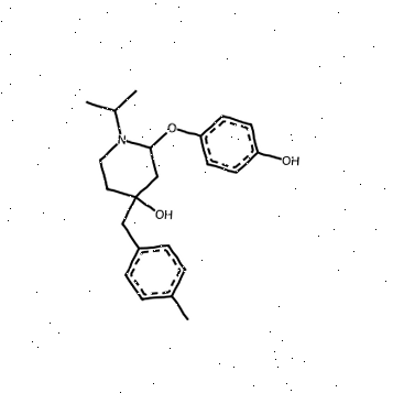 Cc1ccc(CC2(O)CCN(C(C)C)C(Oc3ccc(O)cc3)C2)cc1